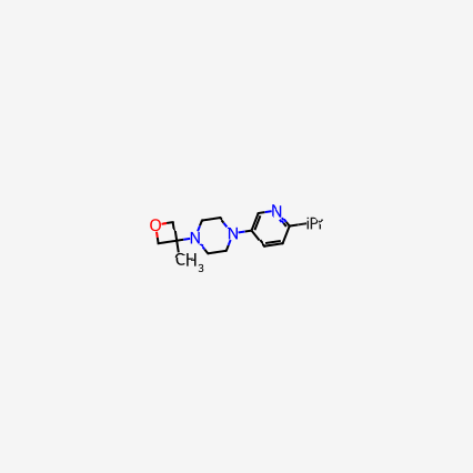 CC(C)c1ccc(N2CCN(C3(C)COC3)CC2)cn1